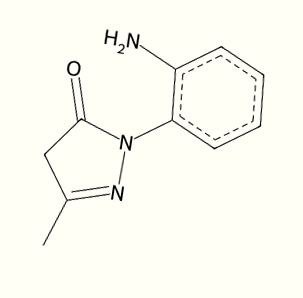 CC1=NN(c2ccccc2N)C(=O)C1